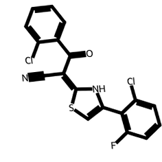 N#C/C(C(=O)c1ccccc1Cl)=C1/NC(c2c(F)cccc2Cl)=CS1